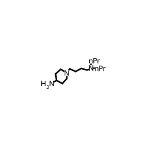 CCCN(CCC)CCCCN1CCC(N)CC1